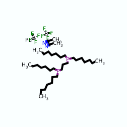 CC#N.CC#N.CCCCCCCP(CCCCCCC)CCCP(CCCCCCC)CCCCCCC.F[B-](F)(F)F.F[B-](F)(F)F.[Pd+2]